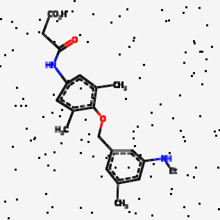 CCNc1cc(C)cc(COc2c(C)cc(NC(=O)CC(=O)O)cc2C)c1